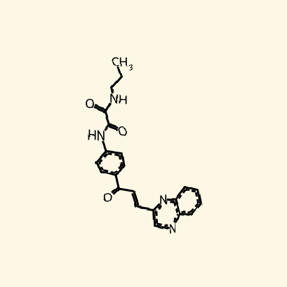 CCCNC(=O)C(=O)Nc1ccc(C(=O)C=Cc2cnc3ccccc3n2)cc1